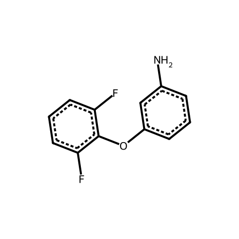 Nc1cccc(Oc2c(F)cccc2F)c1